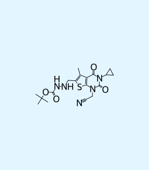 Cc1c(CNNC(=O)OC(C)(C)C)sc2c1c(=O)n(C1CC1)c(=O)n2CC#N